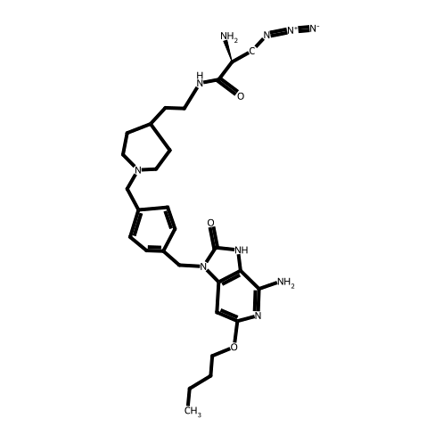 CCCCOc1cc2c([nH]c(=O)n2Cc2ccc(CN3CCC(CCNC(=O)[C@@H](N)CN=[N+]=[N-])CC3)cc2)c(N)n1